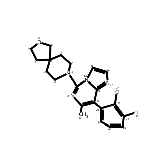 Cc1nc(N2CCC3(CCOC3)CC2)n2ccnc2c1-c1cccc(Cl)c1Cl